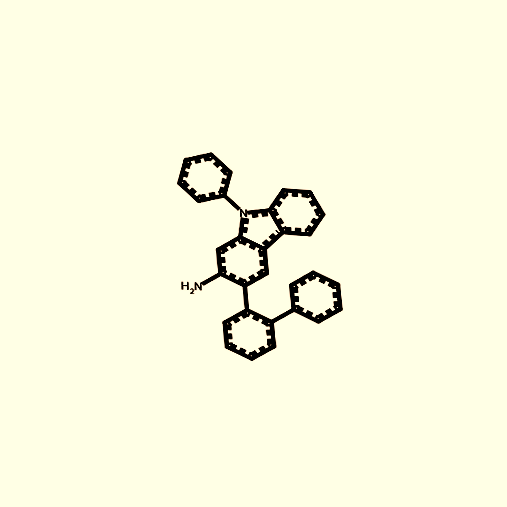 Nc1cc2c(cc1-c1ccccc1-c1ccccc1)c1ccccc1n2-c1ccccc1